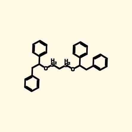 c1ccc(CC(O[SiH2]C[SiH2]OC(Cc2ccccc2)c2ccccc2)c2ccccc2)cc1